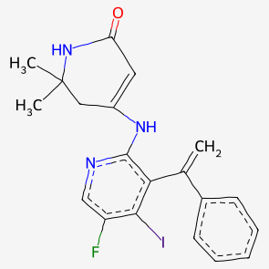 C=C(c1ccccc1)c1c(NC2=CC(=O)NC(C)(C)C2)ncc(F)c1I